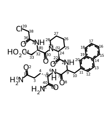 NC(=O)CC[C@H](NC(=O)C(Cc1ccc2ccccc2c1)NC(=O)[C@@H]1CCCCN1C(=O)[C@@H](CC(=O)O)NC(=O)CCl)C(N)=O